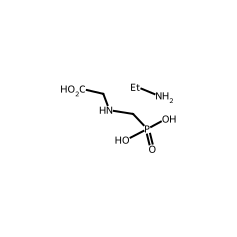 CCN.O=C(O)CNCP(=O)(O)O